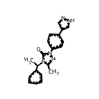 Cc1nn(-c2ccc(-c3cn[nH]c3)cc2)c(=O)n1C(C)c1ccccc1